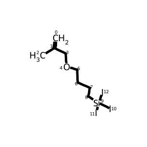 C=C(C)COCCCC[Si](I)(I)I